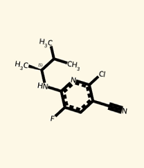 CC(C)[C@H](C)Nc1nc(Cl)c(C#N)cc1F